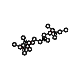 c1ccc(-c2ccc(N(c3ccc(-c4ccc5c(-c6cccc(-n7c8ccccc8c8c(-c9cccc(-c%10ccccc%10N(c%10ccc(-c%11ccccc%11)cc%10)c%10ccc(-c%11ccccc%11)cc%10)c9)cccc87)c6)cccc5c4)cc3)c3ccccc3-c3cccc(-c4cccc5c4c4ccccc4n5-c4ccccc4)c3)cc2)cc1